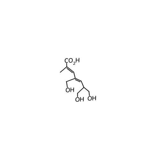 CC(=CC(=CC(CO)CO)CO)C(=O)O